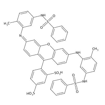 Cc1ccc(NS(=O)(=O)c2ccccc2)cc1/N=c1/ccc2c(-c3ccc(S(=O)(=O)O)cc3S(=O)(=O)O)c3ccc(Nc4cc(NS(=O)(=O)c5ccccc5)ccc4C)cc3oc-2c1